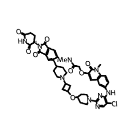 CNC(=O)COc1cc2cc(Nc3nc(N4CCC(OC5CC(N6CCC(c7ccc8c(c7)C(=O)N([C@@H]7CCC(=O)NC7=O)C8=O)CC6)C5)CC4)ncc3Cl)ccc2n(C)c1=O